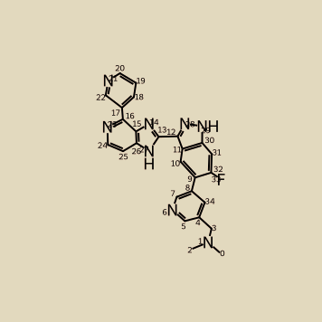 CN(C)Cc1cncc(-c2cc3c(-c4nc5c(-c6cccnc6)nccc5[nH]4)n[nH]c3cc2F)c1